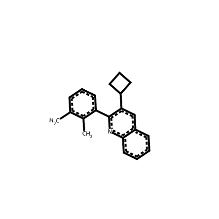 Cc1cccc(-c2nc3ccccc3cc2C2CCC2)c1C